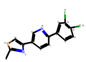 Cc1nc(-c2ccc(-c3ccc(F)c(F)c3)nc2)cs1